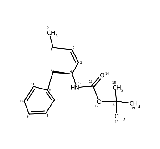 CC/C=C\[C@H](Cc1ccccc1)NC(=O)OC(C)(C)C